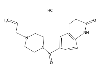 C=CCN1CCN(C(=O)c2ccc3c(c2)CCC(=O)N3)CC1.Cl